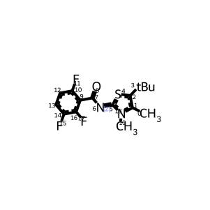 Cc1c(C(C)(C)C)s/c(=N\C(=O)c2c(F)ccc(F)c2F)n1C